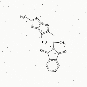 Cc1cc2[nH]c(CC(C)(C)N3C(=O)c4ccccc4C3=O)nn2n1